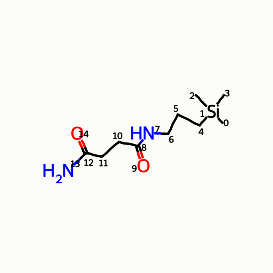 C[Si](C)(C)CCCNC(=O)CCC(N)=O